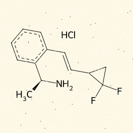 C[C@H](N)c1ccccc1/C=C/C1CC1(F)F.Cl